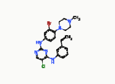 C=Cc1cccc(Nc2nc(Nc3ccc(N4CCN(C)CC4)c(Br)c3)ncc2Cl)c1